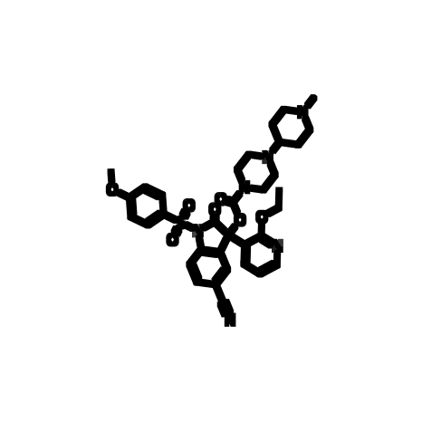 CCOc1ncccc1C1(OC(=O)N2CCN(C3CCN(C)CC3)CC2)C(=O)N(S(=O)(=O)c2ccc(OC)cc2)c2ccc(C#N)cc21